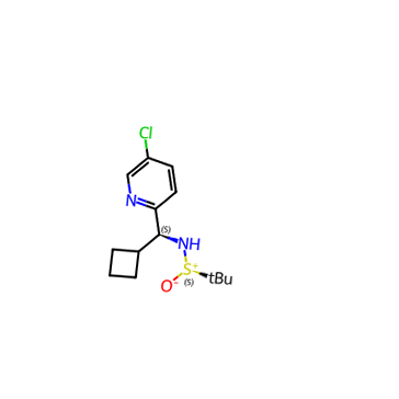 CC(C)(C)[S@@+]([O-])N[C@H](c1ccc(Cl)cn1)C1CCC1